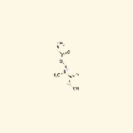 C=CC(=O)O/C=C(\C)C(=O)OC